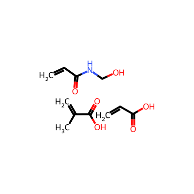 C=C(C)C(=O)O.C=CC(=O)NCO.C=CC(=O)O